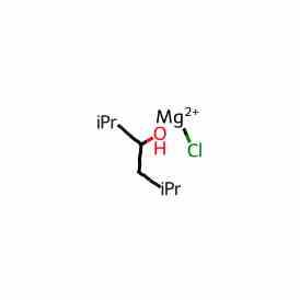 CC(C)CC(O)C(C)C.[Mg+2][Cl]